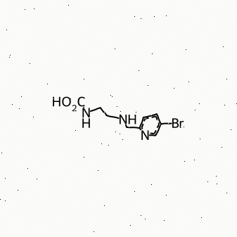 O=C(O)NCCNCc1ccc(Br)cn1